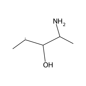 C[CH]C(O)C(C)N